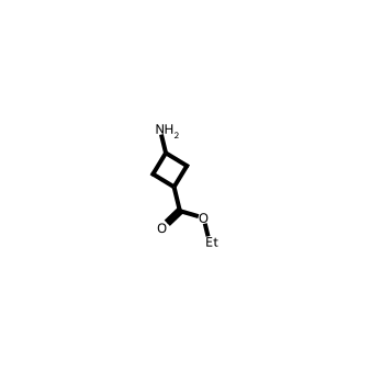 CCOC(=O)C1CC(N)C1